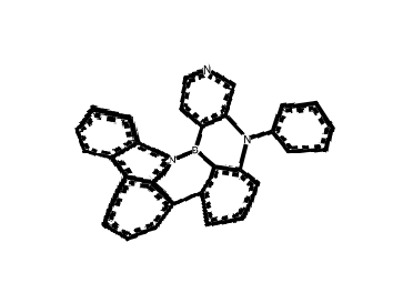 c1ccc(N2c3cnccc3B3c4c(cccc42)-c2cccc4c5ccccc5n3c24)cc1